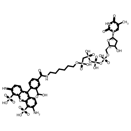 Cc1cn([C@H]2CC(O)[C@@H](COP(=O)(O)OP(=O)(O)OP(=O)(O)CP(=O)(O)OCCCCCCNC(=O)c3ccc(-c4c5ccc(=N)c(S(=O)(=O)O)c-5oc5c(S(=O)(=O)O)c(N)ccc45)c(C(=O)O)c3)O2)c(=O)[nH]c1=O